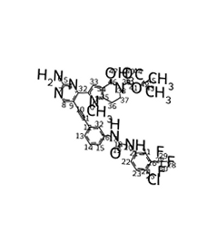 Cn1c(-c2nc(N)ncc2C#Cc2cccc(NC(=O)Nc3ccc(Cl)c(C(F)(F)F)c3)c2)cc2c1CCN(C(=O)OC(C)(C)C)C2=O